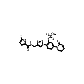 COS(=O)(=O)Oc1cc(-n2ccccc2=O)ccc1-n1cc(CNC(=O)c2ccc(Cl)s2)nn1